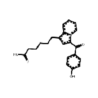 O=C(O)CCCCCc1cc(C(=O)c2ccc(O)cc2)n2ccccc12